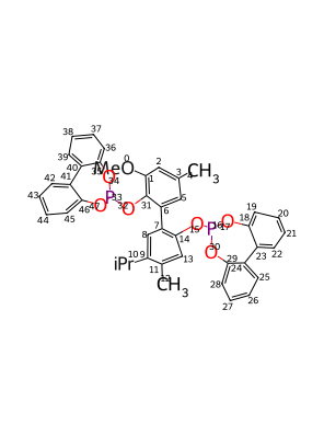 COc1cc(C)cc(-c2cc(C(C)C)c(C)cc2Op2oc3ccccc3c3ccccc3o2)c1Op1oc2ccccc2c2ccccc2o1